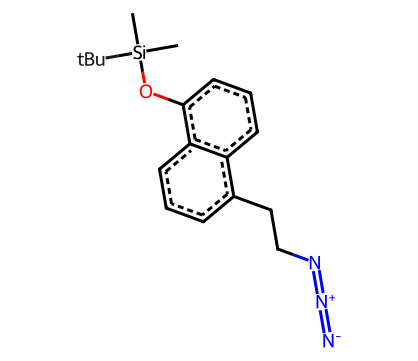 CC(C)(C)[Si](C)(C)Oc1cccc2c(CCN=[N+]=[N-])cccc12